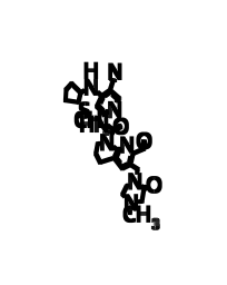 CSC1CCCC1Nc1cc(NC(=O)N2CCCc3cc(CN4CCN(C)CC4=O)c(C=O)nc32)ncc1C#N